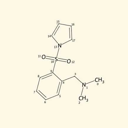 CN(C)Cc1ccccc1S(=O)(=O)n1c[c]cc1